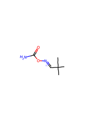 CC(C)(C)/C=N/OC(N)=O